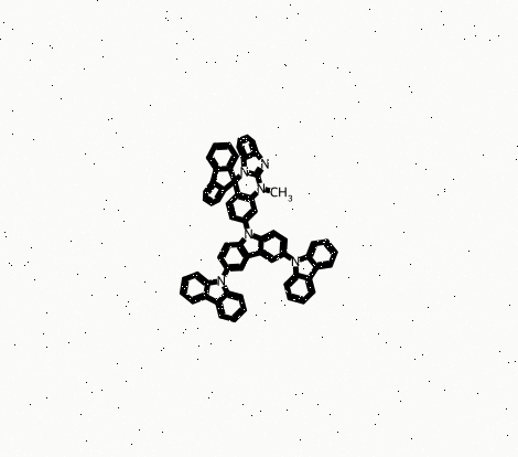 CN1c2cc(-n3c4ccc(-n5c6ccccc6c6ccccc65)cc4c4cc(-n5c6ccccc6c6ccccc65)ccc43)ccc2C2(c3ccccc3-c3ccccc32)n2c1nc1ccccc12